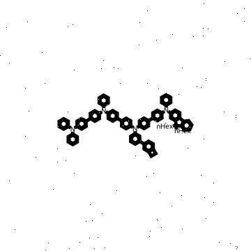 CCCCCCC1(CCCCCC)c2ccccc2-c2ccc(N(c3ccccc3)c3ccc(-c4ccc(N(c5ccc(-c6ccc(N(c7ccccc7)c7ccc(-c8ccc(N(c9ccccc9)c9ccccc9)cc8)cc7)cc6)cc5)c5cccc(-c6ccc7c(c6)CC7)c5)cc4)cc3)cc21